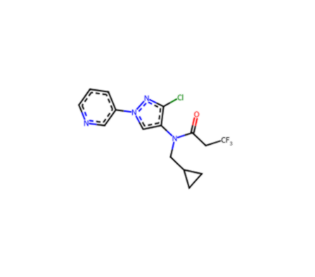 O=C(CC(F)(F)F)N(CC1CC1)c1cn(-c2cccnc2)nc1Cl